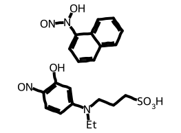 CCN(CCCS(=O)(=O)O)c1ccc(N=O)c(O)c1.O=NN(O)c1cccc2ccccc12